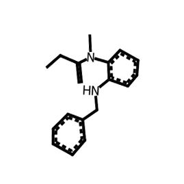 C=C(CC)N(C)c1ccccc1NCc1ccccc1